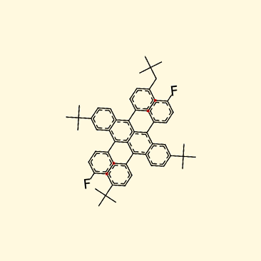 CC(C)(C)Cc1ccc(-c2c3ccc(C(C)(C)C)cc3c(-c3ccc(F)cc3)c3c(-c4ccc(C(C)(C)C)cc4)c4ccc(C(C)(C)C)cc4c(-c4ccc(F)cc4)c23)cc1